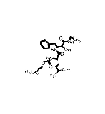 CCNC(=O)C(O)C(Cc1ccccc1)NC(=O)[C@H](CCC(C)C)NC(=O)OCCOC